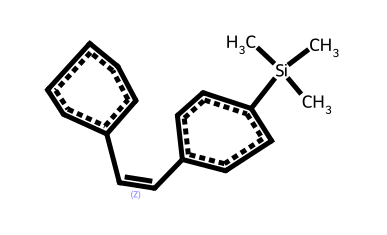 C[Si](C)(C)c1ccc(/C=C\c2ccccc2)cc1